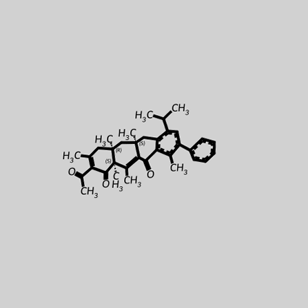 CC(=O)C1=C(C)C[C@@]2(C)C[C@@]3(C)Cc4c(C(C)C)cc(-c5ccccc5)c(C)c4C(=O)C3=C(C)[C@@]2(C)C1=O